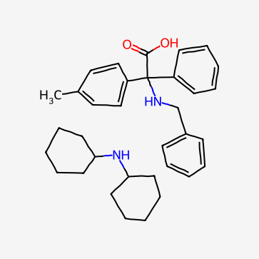 C1CCC(NC2CCCCC2)CC1.Cc1ccc(C(NCc2ccccc2)(C(=O)O)c2ccccc2)cc1